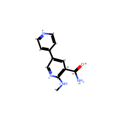 CNc1ncc(-c2ccncc2)cc1C(N)=O